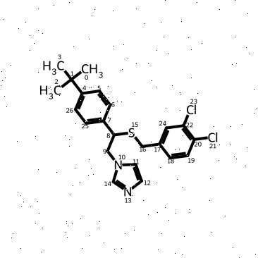 CC(C)(C)c1ccc(C(Cn2ccnc2)SCc2ccc(Cl)c(Cl)c2)cc1